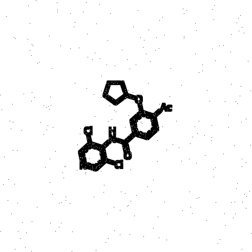 CC(=O)c1ccc(C(=O)Nc2c(Cl)cncc2Cl)cc1OC1CCCC1